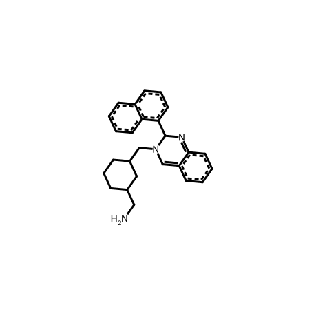 NCC1CCCC(CN2C=c3ccccc3=NC2c2cccc3ccccc23)C1